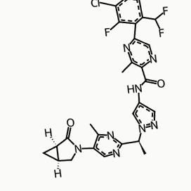 Cc1nc([C@H](C)n2cc(NC(=O)c3ncc(-c4c(C(F)F)ccc(Cl)c4F)nc3C)cn2)ncc1N1C[C@H]2C[C@H]2C1=O